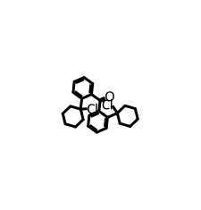 O=C(c1ccccc1C1(Cl)CCCCC1)c1ccccc1C1(Cl)CCCCC1